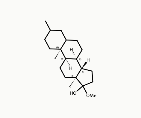 COC1(O)CC[C@H]2[C@@H]3CCC4CC(C)CC[C@]4(C)[C@@H]3CC[C@@]21C